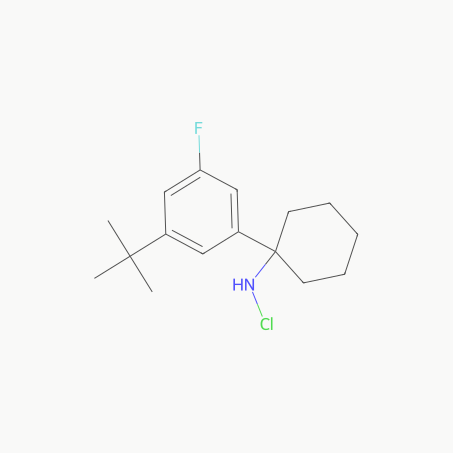 CC(C)(C)c1cc(F)cc(C2(NCl)CCCCC2)c1